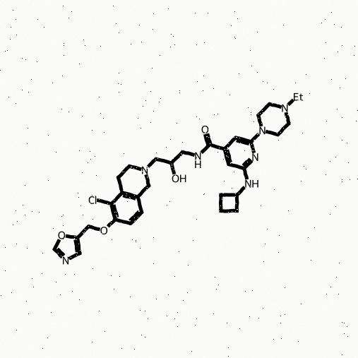 CCN1CCN(c2cc(C(=O)NCC(O)CN3CCc4c(ccc(OCc5cnco5)c4Cl)C3)cc(NC3CCC3)n2)CC1